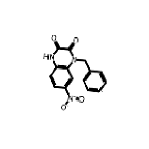 O=c1[nH]c2ccc([N+](=O)[O-])cc2n(Cc2cc[c]cc2)c1=O